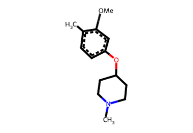 COc1cc(OC2CCN(C)CC2)ccc1C